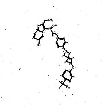 CCc1nc2ccc(Cl)cn2c1C(=O)NCc1ccc(N2CC3(CC(Oc4ccc(C(F)(F)F)cc4)C3)C2)cc1